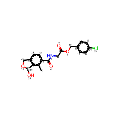 Cc1c(C(=O)NCC(=O)OCc2ccc(Cl)cc2)ccc2c1B(O)OC2